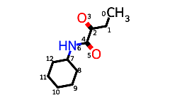 CCC(=O)C(=O)NC1CCCCC1